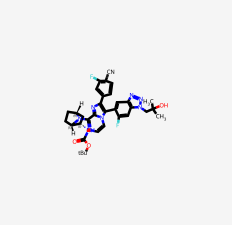 CC(C)(O)Cn1nnc2cc(-c3c(-c4ccc(C#N)c(F)c4)nc4c(N5[C@@H]6CC[C@H]5[C@@H](NC(=O)OC(C)(C)C)C6)nccn34)c(F)cc21